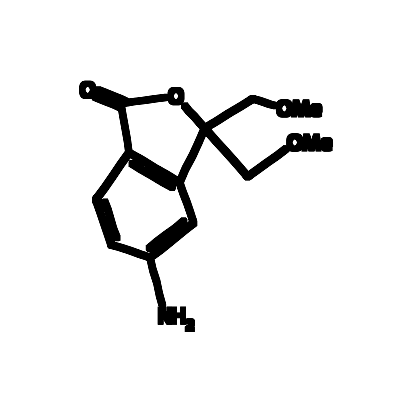 COCC1(COC)OC(=O)c2ccc(N)cc21